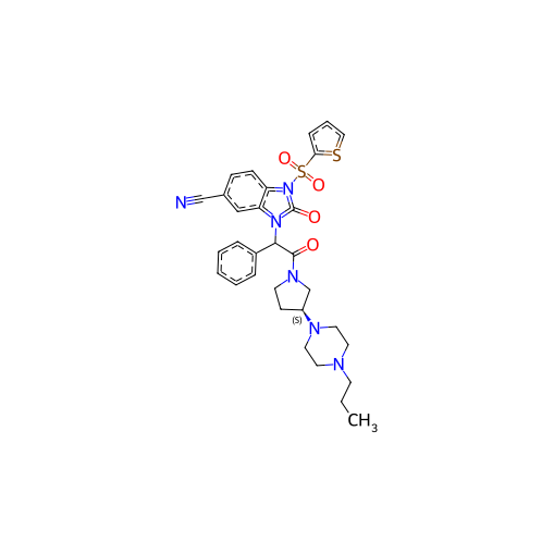 CCCN1CCN([C@H]2CCN(C(=O)C(c3ccccc3)n3c(=O)n(S(=O)(=O)c4cccs4)c4ccc(C#N)cc43)C2)CC1